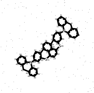 c1ccc2c(c1)Cc1ccccc1N2c1ccc2c(c1)Sc1ccc3c4c(ccc-2c14)-c1ccc(N2c4ccccc4Cc4ccccc42)cc1S3